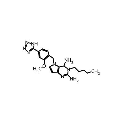 CCCCCN1C(N)=Nc2ccn(Cc3ccc(-c4nnn[nH]4)cc3OC)c2C1N